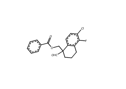 O=CC1(COC(=O)c2ccccc2)CCCc2c1ccc(Cl)c2F